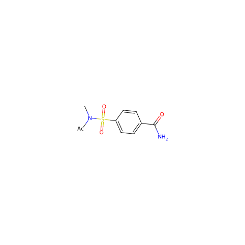 CC(=O)N(C)S(=O)(=O)c1ccc(C(N)=O)cc1